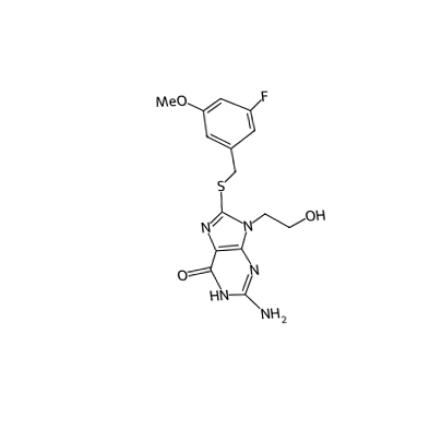 COc1cc(F)cc(CSc2nc3c(=O)[nH]c(N)nc3n2CCO)c1